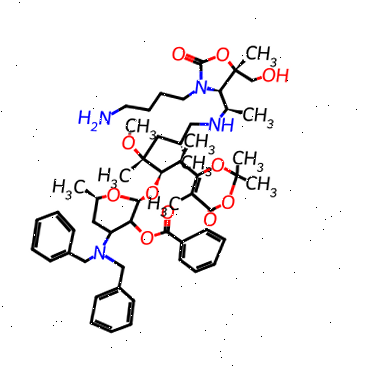 CO[C@](C)(C[C@@H](C)CN[C@H](C)[C@H]1N(CCCCN)C(=O)O[C@]1(C)CO)[C@H](O[C@@H]1O[C@H](C)CC(N(Cc2ccccc2)Cc2ccccc2)C1OC(=O)c1ccccc1)[C@@H](C)C1=C(C)C(=O)OC(C)(C)O1